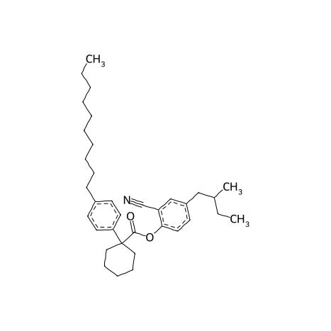 CCCCCCCCCCc1ccc(C2(C(=O)Oc3ccc(CC(C)CC)cc3C#N)CCCCC2)cc1